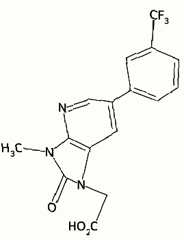 Cn1c(=O)n(CC(=O)O)c2cc(-c3cccc(C(F)(F)F)c3)cnc21